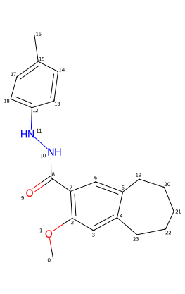 COc1cc2c(cc1C(=O)NNc1ccc(C)cc1)CCCCC2